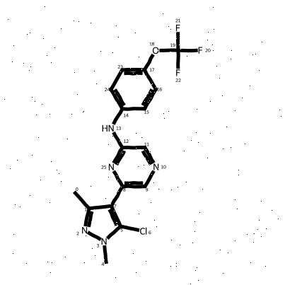 Cc1nn(C)c(Cl)c1-c1cncc(Nc2ccc(OC(F)(F)F)cc2)n1